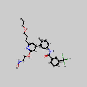 CCCOCCCc1cc(-c2cc(NC(=O)c3cccc(C(F)(F)F)c3)ccc2C)cc(OCCN=O)n1